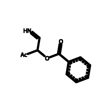 CC(=O)C(C=N)OC(=O)c1ccccc1